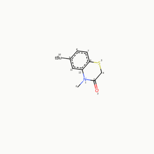 CN1C(=O)CSc2ccc(C(C)(C)C)cc21